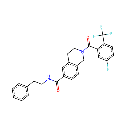 O=C(NCCc1ccccc1)c1ccc2c(c1)CCN(C(=O)c1cc(F)ccc1C(F)(F)F)C2